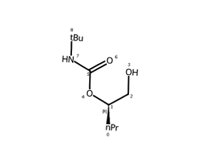 CCC[C@H](CO)OC(=O)NC(C)(C)C